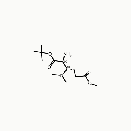 COC(=O)CC[C@@H]([C@H](N)C(=O)OC(C)(C)C)N(C)C